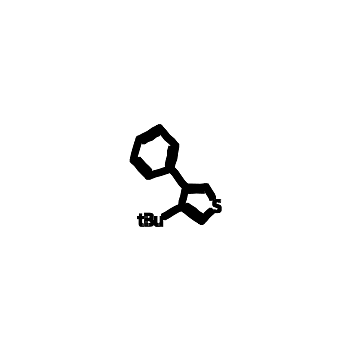 CC(C)(C)c1cscc1-c1ccccc1